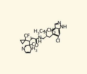 CN(C)[C@H](CNC(=O)C[C@@H](C1(C)C=NC=CC1)C1(C(F)(F)F)CC1)Cc1cc2cn[nH]c2cc1Cl